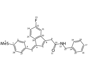 CSc1ccc(/C=C2/C=C(CC(=O)NCc3ccccc3)c3cc(F)ccc32)cc1